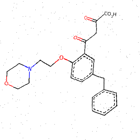 O=C(O)C(=O)CC(=O)c1cc(Cc2ccccc2)ccc1OCCN1CCOCC1